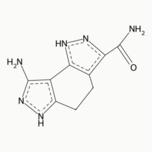 NC(=O)c1n[nH]c2c1CCc1[nH]nc(N)c1-2